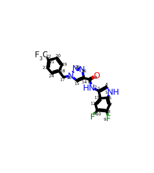 O=C(Nc1c[nH]c2cc(F)c(F)cc12)c1cn(Cc2ccc(C(F)(F)F)cc2)nn1